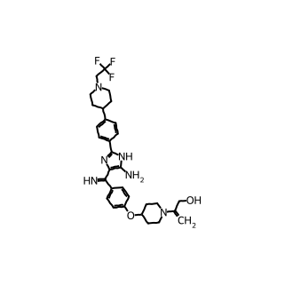 C=C(CO)N1CCC(Oc2ccc(C(=N)c3nc(-c4ccc(C5CCN(CC(F)(F)F)CC5)cc4)[nH]c3N)cc2)CC1